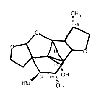 C[C@@H]1COC2C1C13COC4[C@H](O)[C@@H](C(C)(C)C)C5(CCOC5O1)C43[C@H]2O